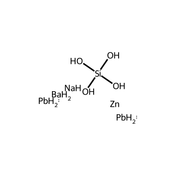 O[Si](O)(O)O.[BaH2].[NaH].[PbH2].[PbH2].[Zn]